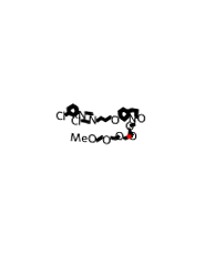 COCCOCCOCC1O[C@H]1OCn1c(=O)ccc2ccc(OCCCCN3CCN(c4cccc(Cl)c4Cl)CC3)cc21